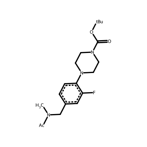 CC(=O)N(C)Cc1ccc(N2CCN(C(=O)OC(C)(C)C)CC2)c(F)c1